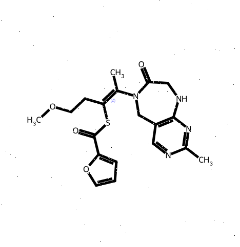 COCC/C(SC(=O)c1ccco1)=C(\C)N1Cc2cnc(C)nc2NCC1=O